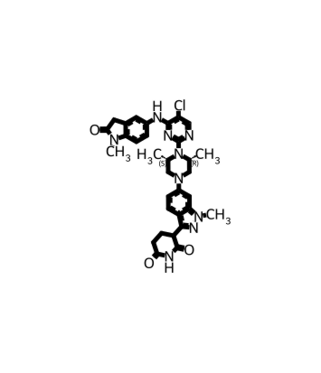 C[C@@H]1CN(c2ccc3c(C4CCC(=O)NC4=O)nn(C)c3c2)C[C@H](C)N1c1ncc(Cl)c(Nc2ccc3c(c2)CC(=O)N3C)n1